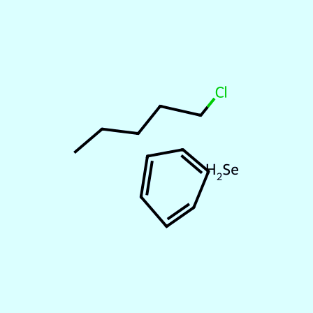 CCCCCCl.[SeH2].c1ccccc1